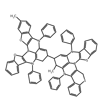 Cc1ccc2c3c(oc2c1)B1C2=C(CC(C4C=C5C6=C(C4C)N(c4ccccc4)C4=C(CSc7ccccc74)B6c4sc6ccccc6c4N5c4ccccc4)C=C2N3c2ccccc2)N(c2ccccc2)c2c1oc1ccccc21